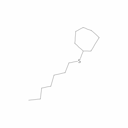 CCCCCCCSC1CCCCCC1